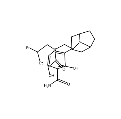 CCC(CC)CN(CCN1C2CCC1CC(c1cccc(C(N)=O)c1O)C2)C(=O)CO